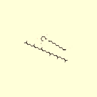 CC(C)=CCC/C(C)=C/CC/C(C)=C/CC/C=C(\C)CC/C=C(\C)CCC=C(C)C.CCCCCCCC/C=C\CCCCCCCC(=O)OC1O[C@H](CO)[C@@H](O)[C@H](O)[C@@H]1O